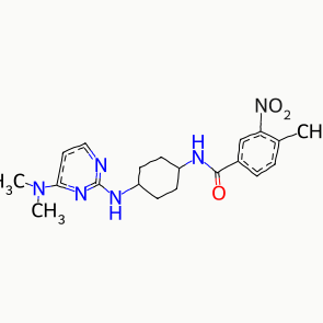 Cc1ccc(C(=O)NC2CCC(Nc3nccc(N(C)C)n3)CC2)cc1[N+](=O)[O-]